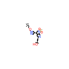 CC(C)(O)C#Cc1cc2c(-c3cnn(COCC[Si](C)(C)C)c3)cn(S(C)(=O)=O)c2cn1